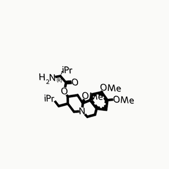 COc1cc2c(cc1OC)C1(OC)CC(OC(=O)[C@H](N)C(C)C)C(CC(C)C)CN1CC2